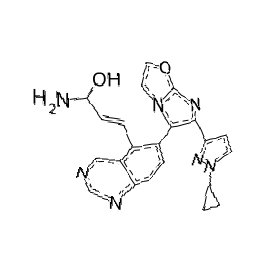 NC(O)/C=C/c1c(-c2c(-c3ccn(C4CC4)n3)nc3occn23)ccc2ncncc12